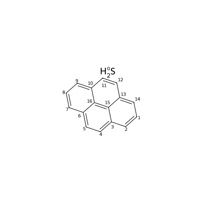 S.c1cc2ccc3cccc4ccc(c1)c2c34